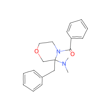 CN(C)C1(Cc2ccccc2)COCCN1C(=O)c1ccccc1